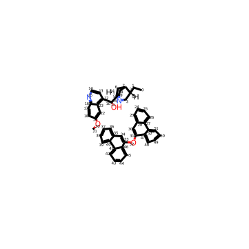 CC[C@@H]1CN2CCC1C[C@@H]2[C@@H](O)c1ccnc2ccc(OC)cc12.c1ccc2c(c1)cc(Oc1cc3ccccc3c3ccccc13)c1ccccc12